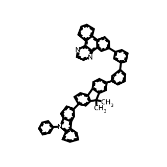 CC1(C)c2cc(-c3cccc(-c4cccc(-c5ccc6c7ccccc7c7nccnc7c6c5)c4)c3)ccc2-c2ccc(-c3ccc4c(c3)c3ccccc3n4-c3ccccc3)cc21